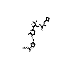 COC(=O)[C@H]1CC[C@@H](COc2ccc(-c3nnn(C)c3COC(=O)N(C)CC3CCC3)nc2C)C1